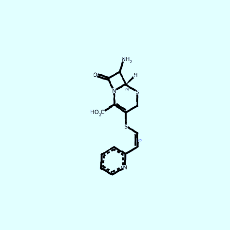 NC1C(=O)N2C(C(=O)O)=C(S/C=C\c3ccccn3)CS[C@@H]12